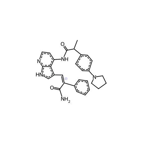 CC(C(=O)Nc1ccnc2[nH]cc(/C=C(\C(N)=O)c3ccccc3)c12)c1ccc(N2CCCC2)cc1